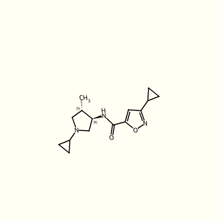 C[C@H]1CN(C2CC2)C[C@@H]1NC(=O)c1cc(C2CC2)no1